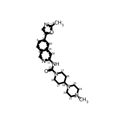 Cc1ncc(-c2ccc3cnc(NC(=O)N4CCC(N5CCN(C)CC5)CC4)cc3c2)o1